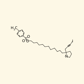 Cc1ccc(S(=O)(=O)OCCCCCCCCCCCCC2(CC#CI)CCC[N]2)cc1